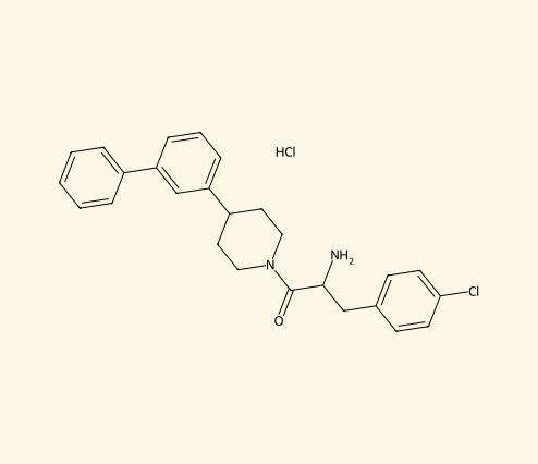 Cl.NC(Cc1ccc(Cl)cc1)C(=O)N1CCC(c2cccc(-c3ccccc3)c2)CC1